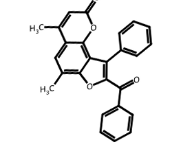 Cc1cc(=O)oc2c1cc(C)c1oc(C(=O)c3ccccc3)c(-c3ccccc3)c12